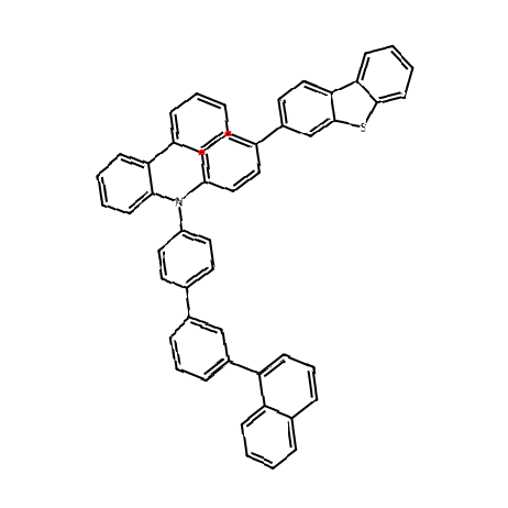 c1ccc(-c2ccccc2N(c2ccc(-c3cccc(-c4cccc5ccccc45)c3)cc2)c2ccc(-c3ccc4c(c3)sc3ccccc34)cc2)cc1